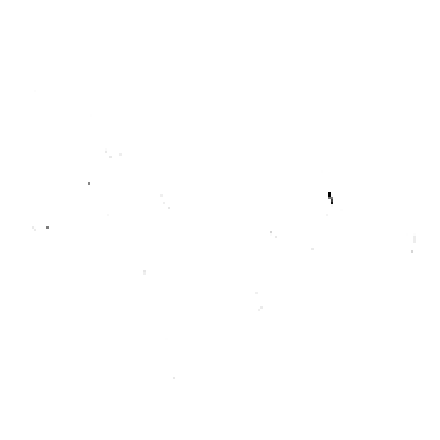 COc1cnn2c(-c3cc(NC(C)C)c(C(=O)NC[C@@H](F)C(C)(C)O)cn3)cnc2c1